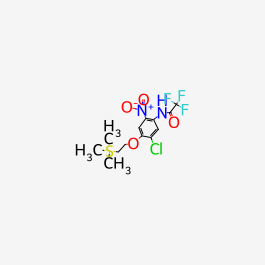 CS(C)(C)CCOc1cc([N+](=O)[O-])c(NC(=O)C(F)(F)F)cc1Cl